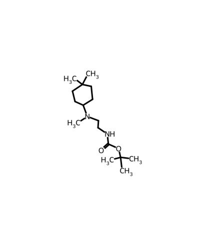 CN(CCNC(=O)OC(C)(C)C)C1CCC(C)(C)CC1